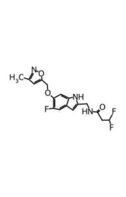 Cc1cc(COc2cc3[nH]c(CNC(=O)CC(F)F)cc3cc2F)on1